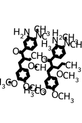 CC/C(=C\c1cc(OC)c(OC)cc1OC)C(=O)c1ccc(N(C)C)c(N)c1.CCC/C(=C\c1cc(OC)c(OC)cc1OC)C(=O)c1ccc(N(C)C)c(N)c1